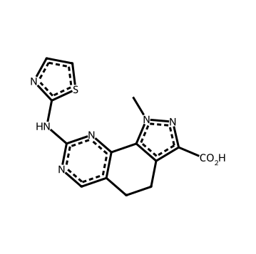 Cn1nc(C(=O)O)c2c1-c1nc(Nc3nccs3)ncc1CC2